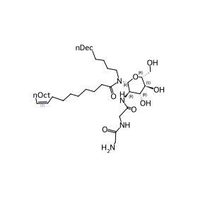 CCCCCCCC/C=C\CCCCCCCC(=O)N(CCCCCCCCCCCCCC)[C@@H]1O[C@H](CO)[C@@H](O)[C@H](O)[C@H]1NC(=O)CNC(=O)CN